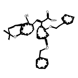 COC(=O)C(=Cc1ccc2c(c1O)C=CC(C)(C)O2)c1ccc(OCc2ccccc2)cc1OCc1ccccc1